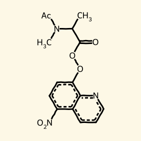 CC(=O)N(C)C(C)C(=O)OOc1ccc([N+](=O)[O-])c2cccnc12